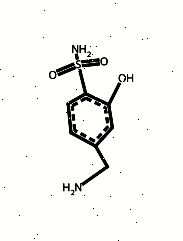 NCc1ccc(S(N)(=O)=O)c(O)c1